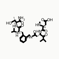 CN[C@@H](CC(=O)O)C(=O)N[C@@H](CC(=O)NCc1ccccc1C[C@H](NC(C)C)C(=O)N[C@H](C(N)=O)[C@@H](C)O)C(=O)C(C)C